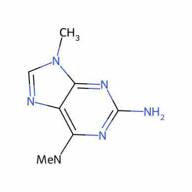 CNc1nc(N)nc2c1ncn2C